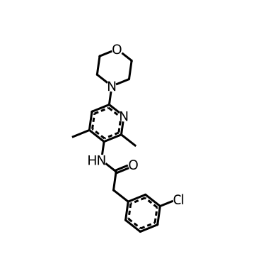 Cc1cc(N2CCOCC2)nc(C)c1NC(=O)Cc1cccc(Cl)c1